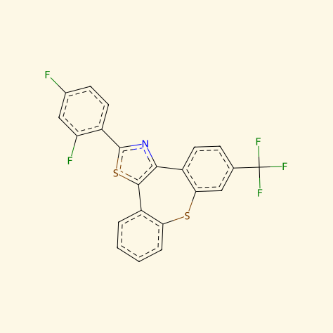 Fc1ccc(-c2nc3c(s2)-c2ccccc2Sc2cc(C(F)(F)F)ccc2-3)c(F)c1